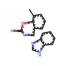 Cc1cccc2cnc(=O)oc12.c1ccc2[nH]cnc2c1